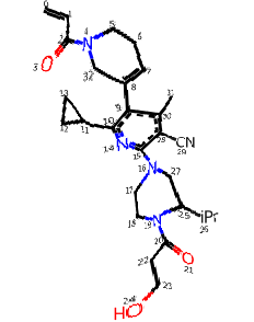 C=CC(=O)N1CCC=C(c2c(C3CC3)nc(N3CCN(C(=O)CCO)C(C(C)C)C3)c(C#N)c2C)C1